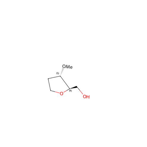 CO[C@H]1CCO[C@@H]1CO